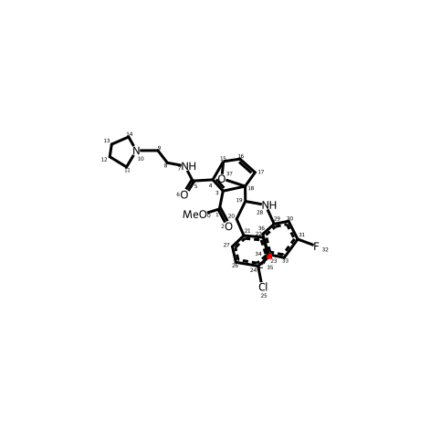 COC(=O)C1=C(C(=O)NCCN2CCCC2)C2C=CC1(C(Cc1ccc(Cl)cc1)Nc1cc(F)cc(F)c1)O2